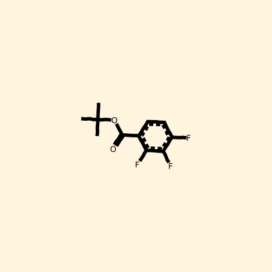 CC(C)(C)OC(=O)c1ccc(F)c(F)c1F